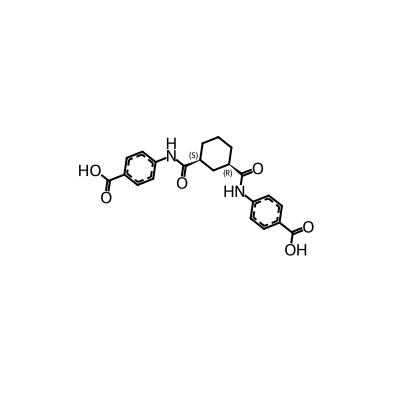 O=C(O)c1ccc(NC(=O)[C@@H]2CCC[C@H](C(=O)Nc3ccc(C(=O)O)cc3)C2)cc1